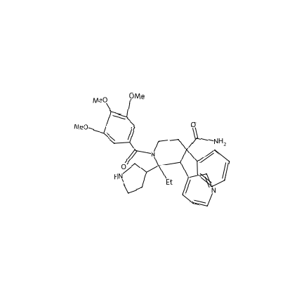 CCC1(C2CCNC2)C(c2cccnc2)C(C(N)=O)(c2ccccc2)CCN1C(=O)c1cc(OC)c(OC)c(OC)c1